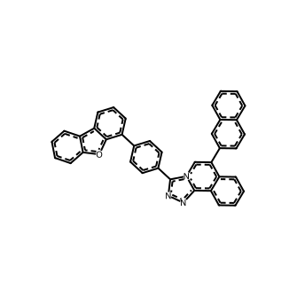 c1ccc2cc(-c3cn4c(-c5ccc(-c6cccc7c6oc6ccccc67)cc5)nnc4c4ccccc34)ccc2c1